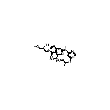 C[C@@H](CO)Oc1cc(Nc2cc3ccn(C[C@H](O)CO)c(=O)c3c(NC(C)(C)C)n2)ncn1